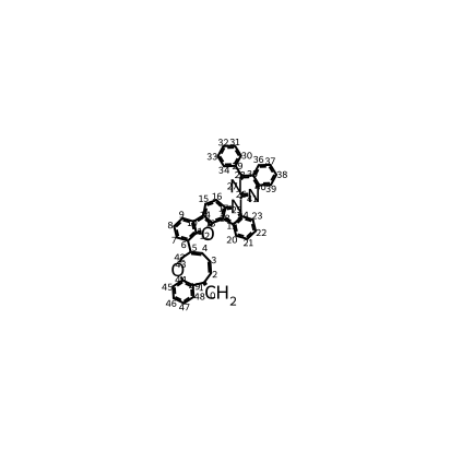 C=C1/C=C\C=C(\c2cccc3c2oc2c3ccc3c2c2ccccc2n3-c2nc(-c3ccccc3)c3ccccc3n2)COc2ccccc21